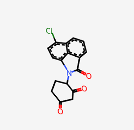 O=C1CCC(N2C(=O)c3cccc4c(Cl)ccc2c34)C(=O)C1